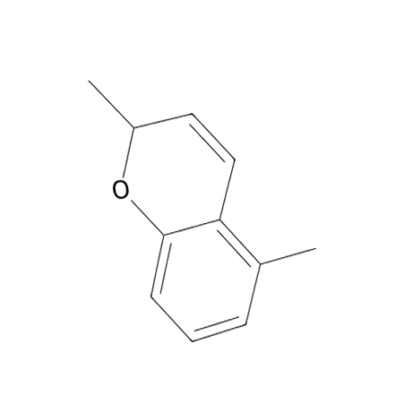 Cc1cccc2c1C=CC(C)O2